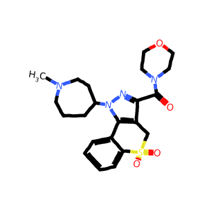 CN1CCCC(n2nc(C(=O)N3CCOCC3)c3c2-c2ccccc2S(=O)(=O)C3)CC1